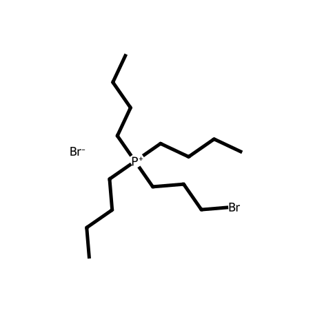 CCCC[P+](CCCC)(CCCC)CCCBr.[Br-]